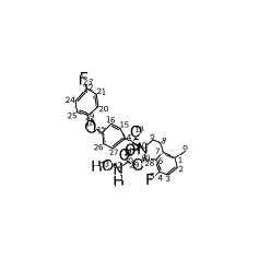 Cc1ccc(F)c2c1CCN(S(=O)(=O)c1ccc(Oc3ccc(F)cc3)cc1)[C@@H]2OC(=O)NO